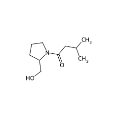 CC(C)CC(=O)N1CCCC1CO